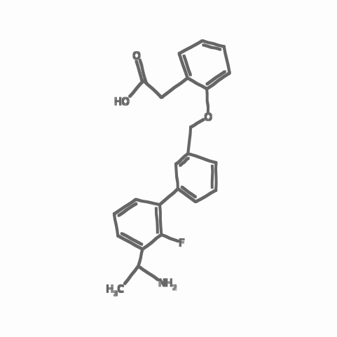 CC(N)c1cccc(-c2cccc(COc3ccccc3CC(=O)O)c2)c1F